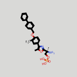 Cc1oc([C@@](C)(N)COP(=O)(O)O)nc1-c1ccc(OCc2ccc(-c3ccccc3)cc2)c(C(F)(F)F)c1